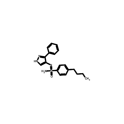 CCCCc1ccc(S(N)(=O)=Nc2c[nH]nc2-c2ccccc2)cc1